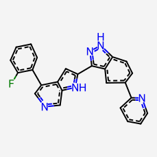 Fc1ccccc1-c1cncc2[nH]c(-c3n[nH]c4ccc(-c5ccccn5)cc34)cc12